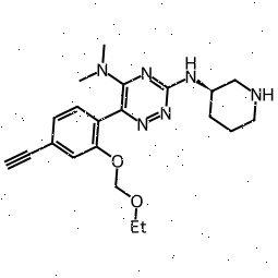 C#Cc1ccc(-c2nnc(N[C@@H]3CCCNC3)nc2N(C)C)c(OCOCC)c1